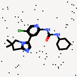 CC1(C)Cc2ncc(-c3cc(NC(=O)NC4CCCCC4)ncc3Cl)n2C1